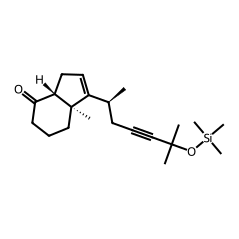 C[C@@H](CC#CC(C)(C)O[Si](C)(C)C)C1=CC[C@H]2C(=O)CCC[C@]12C